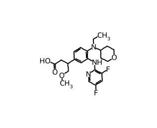 CCN(c1ccc(C(COC)CC(=O)O)cc1Nc1ncc(F)cc1F)C1CCOCC1